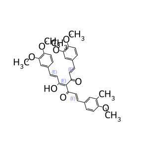 COc1ccc(/C=C/C(=O)/C(C(=O)/C=C/c2ccc(OC)c(OC)c2)=C(O)/C=C/c2ccc(OC)c(OC)c2)cc1C